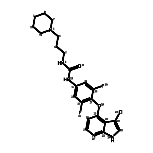 O=C(NCCCN1CCCCC1)Nc1cc(F)c(Oc2ccnc3[nH]cc(Cl)c23)c(F)c1